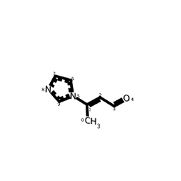 CC(=CC=O)n1ccnc1